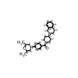 CC1CN(c2ncc(C(=O)N3CCC(N4CCc5ccccc5C4)CC3)cn2)CC(C)O1